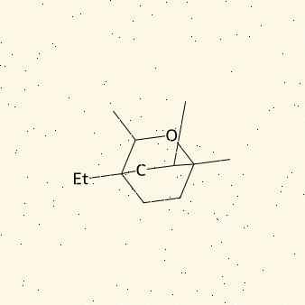 CCC12CCC(C)(OC1C)C(C)C2